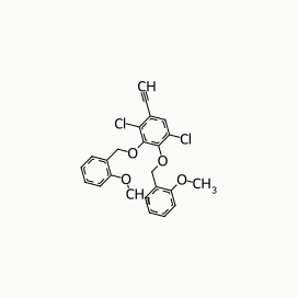 C#Cc1cc(Cl)c(OCc2ccccc2OC)c(OCc2ccccc2OC)c1Cl